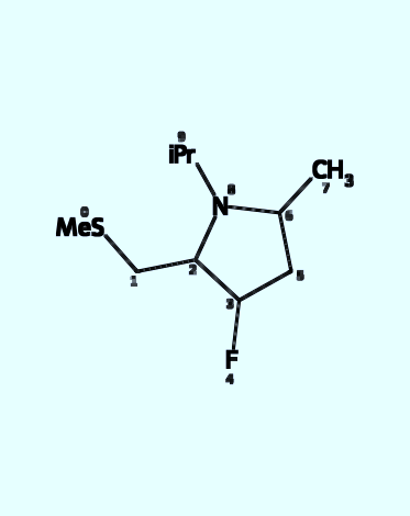 CSCC1C(F)CC(C)N1C(C)C